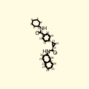 O=C(NC1CCCCC1)c1ccc([C@@H]2C[C@H]2C(=O)Nc2ccc3ccccc3c2)cc1